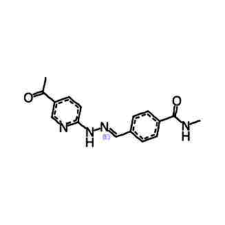 CNC(=O)c1ccc(/C=N/Nc2ccc(C(C)=O)cn2)cc1